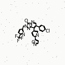 O=c1n(Cc2ccc(C(F)(F)F)nc2)nc2c(-c3ccc(-c4ccno4)nc3)c(-c3ccc(Cl)cc3)cnn12